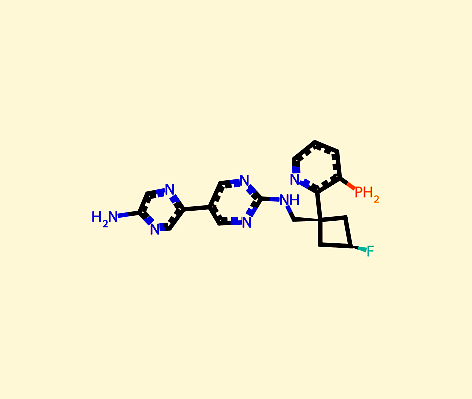 Nc1cnc(-c2cnc(NC[C@]3(c4ncccc4P)C[C@H](F)C3)nc2)cn1